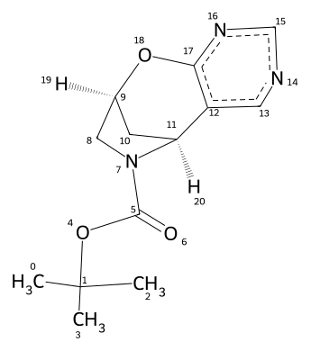 CC(C)(C)OC(=O)N1C[C@@H]2C[C@H]1c1cncnc1O2